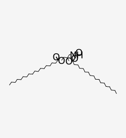 CCCCCCCCCCCCCCCCCC(=O)OCC(CNC=O)OC(=O)CCCCCCCCCCCCCCCCC